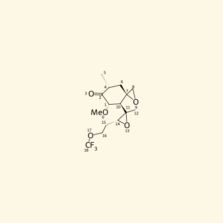 CO[C@@H]1C(=O)[C@H](C)C[C@]2(CO2)[C@H]1C1(C)O[C@@H]1CCOC(F)(F)F